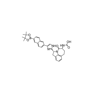 CC1(C)OB(c2ccc3cc(-c4c[nH]c([C@@H]5Cc6cccc7c6N5C(=O)[C@@H](NC(=O)O)CC7)n4)ccc3c2)OC1(C)C